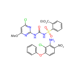 CCOC(=O)c1ccccc1S(=O)(=O)NC(=O)Nc1nc(Cl)cc(OC)n1.Nc1c([N+](=O)[O-])ccc(Oc2ccccc2)c1Cl